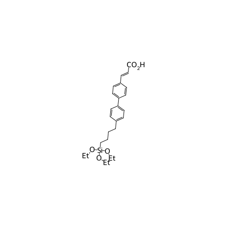 CCO[Si](CCCCc1ccc(-c2ccc(C=CC(=O)O)cc2)cc1)(OCC)OCC